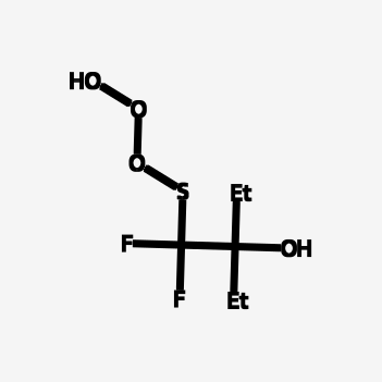 CCC(O)(CC)C(F)(F)SOOO